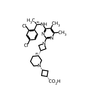 Cc1nc(N2CC([C@H]3CCCN([C@H]4C[C@@H](C(=O)O)C4)C3)C2)nc(N[C@H](C)c2ccc(Cl)cc2Cl)c1C